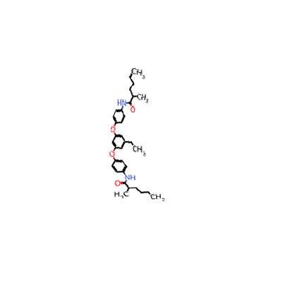 CCCCC(C)C(=O)Nc1ccc(Oc2cc(CC)cc(Oc3ccc(NC(=O)C(C)CCCC)cc3)c2)cc1